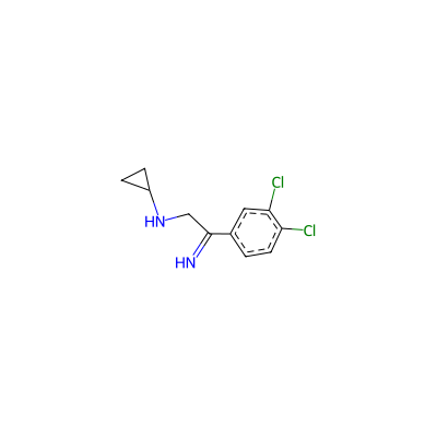 N=C(CNC1CC1)c1ccc(Cl)c(Cl)c1